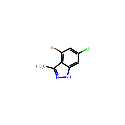 O=C(O)c1n[nH]c2cc(Cl)cc(Br)c12